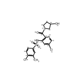 Cc1cc(S(=O)(=O)Nc2cc(Cl)cnc2C(=O)N2CCC(O)C2)ccc1Cl